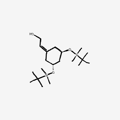 CC(C)(C)[Si](C)(C)O[C@@H]1CC(=CCO)C[C@@H](O[Si](C)(C)C(C)(C)C)C1